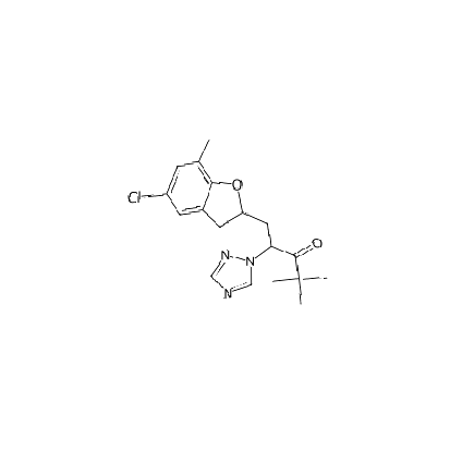 Cc1cc(Cl)cc2c1OC(CC(C(=O)C(C)(C)C)n1cncn1)C2